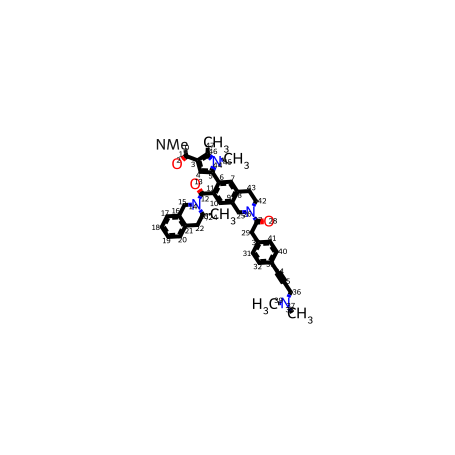 CNC(=O)c1cc(-c2cc3c(cc2C(=O)N2Cc4ccccc4C[C@H]2C)CN(C(=O)Cc2ccc(C#CCN(C)C)cc2)CC3)n(C)c1C